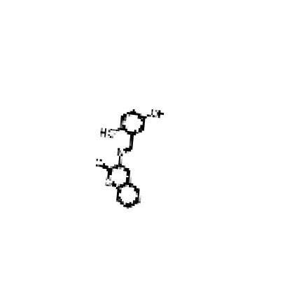 O=c1oc2ccccc2cc1N=Cc1cc(O)ccc1O